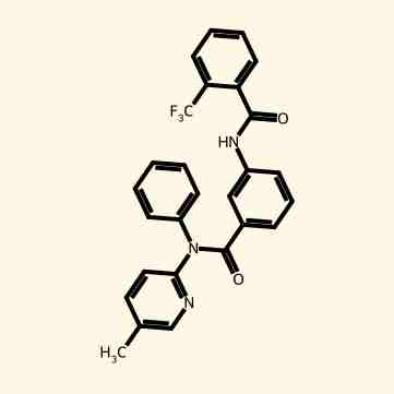 Cc1ccc(N(C(=O)c2cccc(NC(=O)c3ccccc3C(F)(F)F)c2)c2ccccc2)nc1